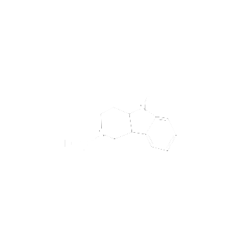 CCOC(=O)N1CCC2C(C1)c1ccccc1N2CC